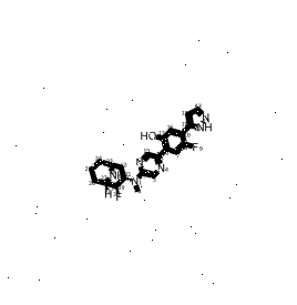 CN(c1cnc(-c2cc(F)c(-c3ccn[nH]3)cc2O)cn1)[C@@H]1CC2CCC[C@H](N2)[C@@H]1F